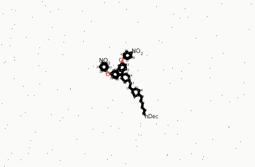 CCCCCCCCCCCCCCCCC1CCC(CCC2CCC(c3ccc(Oc4ccc([N+](=O)[O-])cc4)cc3)(c3ccc(Oc4ccc([N+](=O)[O-])cc4)cc3)CC2)CC1